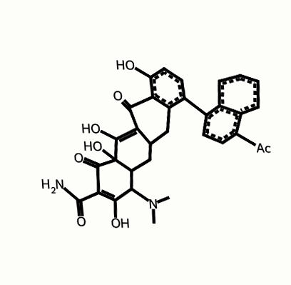 CC(=O)c1ccc(-c2ccc(O)c3c2CC2CC4C(N(C)C)C(O)=C(C(N)=O)C(=O)C4(O)C(O)=C2C3=O)c2ccccc12